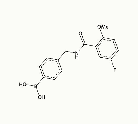 COc1ccc(F)cc1C(=O)NCc1ccc(B(O)O)cc1